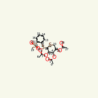 CC(=O)O[C@@H]1[C@@H](OC(C)=O)[C@H](Sc2ccccc2S(C)(=O)=O)SC[C@H]1OC(C)=O